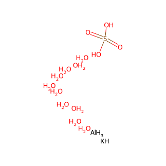 O.O.O.O.O.O.O.O.O.O.O=S(=O)(O)O.[AlH3].[KH]